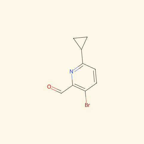 O=Cc1nc(C2CC2)ccc1Br